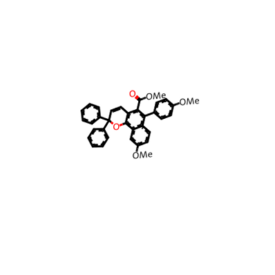 COC(=O)c1c2c(c3cc(OC)ccc3c1-c1ccc(OC)cc1)OC(c1ccccc1)(c1ccccc1)C=C2